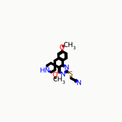 COc1ccc2c(c1)CC1(CCNCC1)c1c(OC)nc(SCC#N)nc1-2